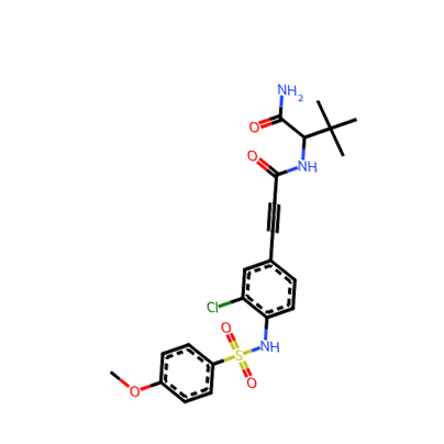 COc1ccc(S(=O)(=O)Nc2ccc(C#CC(=O)NC(C(N)=O)C(C)(C)C)cc2Cl)cc1